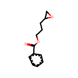 O=C(OCCCC1CO1)c1ccccc1